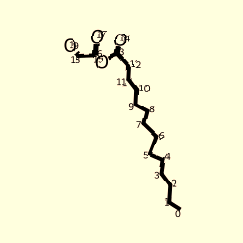 CCCCCCCCCCCCCC(=O)OC(=O)C=O